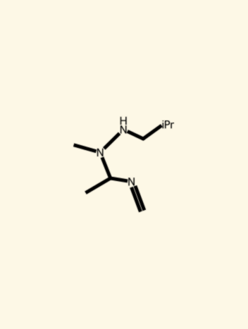 C=NC(C)N(C)NCC(C)C